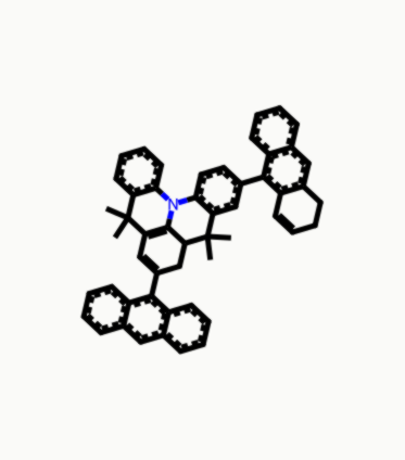 CC1(C)C2=C3C(CC(c4c5ccccc5cc5ccccc45)=C2)C(C)(C)c2cc(-c4c5c(cc6ccccc46)CCC=C5)ccc2N3c2ccccc21